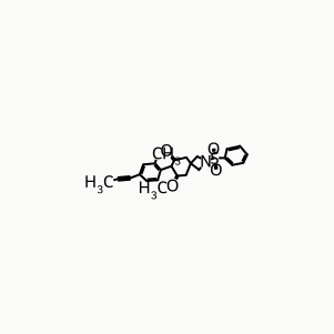 CC#Cc1cc(C)c(C2C(=O)CC3(CC2=O)CN(S(=O)(=O)c2ccccc2)C3)c(C)c1